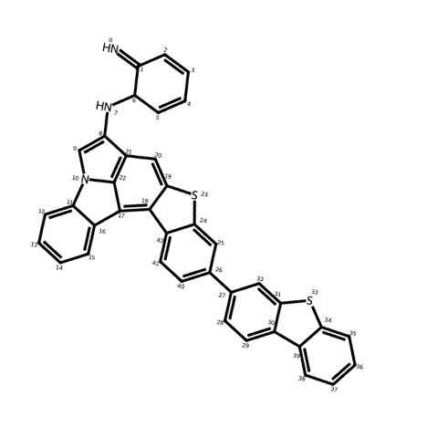 N=C1C=CC=CC1Nc1cn2c3ccccc3c3c4c(cc1c32)sc1cc(-c2ccc3c(c2)sc2ccccc23)ccc14